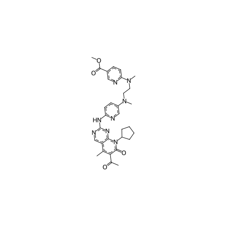 COC(=O)c1ccc(N(C)CCN(C)c2ccc(Nc3ncc4c(C)c(C(C)=O)c(=O)n(C5CCCC5)c4n3)nc2)nc1